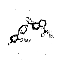 COc1cc(F)ccc1N1CCN(C(C)c2ccc3c(c2)CCCN3C(=O)NC(C)(C)C)CC1